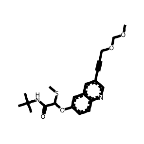 COCOCC#Cc1cnc2ccc(OC(SC)C(=O)NC(C)(C)C)cc2c1